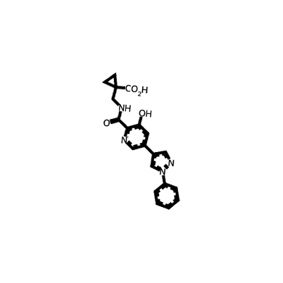 O=C(NCC1(C(=O)O)CC1)c1ncc(-c2cnn(-c3ccccc3)c2)cc1O